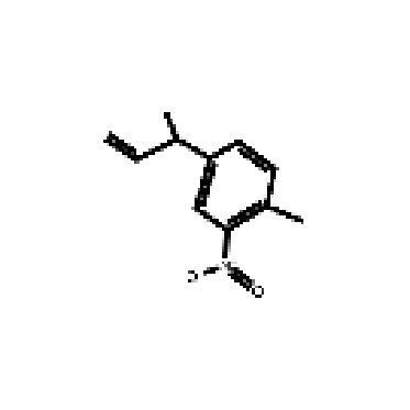 C=C[C](C)c1ccc(C)c([N+](=O)[O-])c1